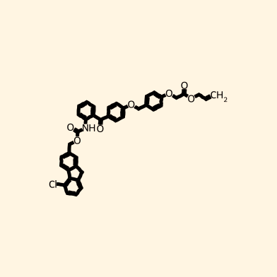 C=CCOC(=O)COc1ccc(COc2ccc(C(=O)c3ccccc3NC(=O)OCc3ccc4c(c3)Cc3cccc(Cl)c3-4)cc2)cc1